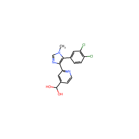 Cn1cnc(-c2cc(C(O)O)ccn2)c1-c1ccc(Cl)c(Cl)c1